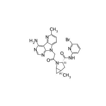 Cc1ccc2c(n1)c1c(N)ncnc1n2CC(=O)N1C2C[C@]2(C)C[C@H]1C(=O)Nc1cccc(Br)n1